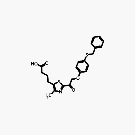 Cc1nc(C(=O)COc2ccc(SCc3ccccc3)cc2)sc1CCCC(=O)O